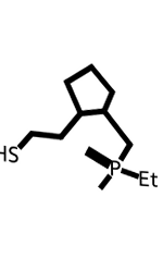 C=P(C)(CC)CC1CCCC1CCS